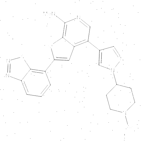 CNc1ncc(-c2cnn(C3CCN(C(C)=O)CC3)c2)c2cc(-c3cccc4nnsc34)oc12